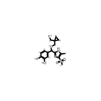 Cc1[nH]c(C(OCC2(CF)CC2)c2ccc(F)c(Cl)c2)nc1S(C)(=O)=O